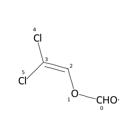 O=[C]OC=C(Cl)Cl